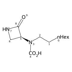 CCCCCCCCN(C(=O)O)[C@H]1CNC1=O